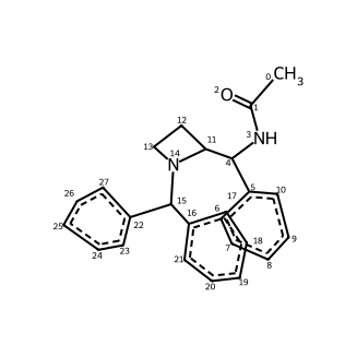 CC(=O)NC(c1ccccc1)C1CCN1C(c1ccccc1)c1ccccc1